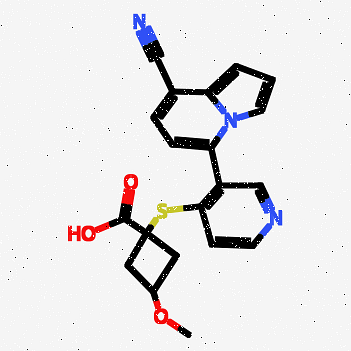 COC1CC(Sc2ccncc2-c2ccc(C#N)c3cccn23)(C(=O)O)C1